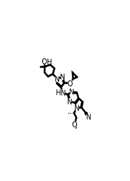 COC[C@H](C)n1c(C#N)cc2cnc(Nc3cn(C4CCC(C)(O)CC4)nc3OC3CC3)nc21